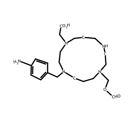 Nc1ccc(CN2CCCN(COC=O)CCNCCCN(CC(=O)O)CC2)cc1